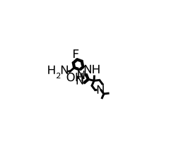 CC(C)N1CCC(C)(c2cnn3c2[nH]c2cc(F)cc(C(N)O)c23)CC1